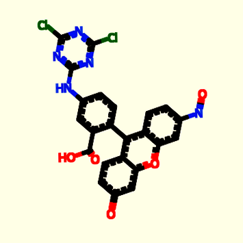 O=Nc1ccc2c(-c3ccc(Nc4nc(Cl)nc(Cl)n4)cc3C(=O)O)c3ccc(=O)cc-3oc2c1